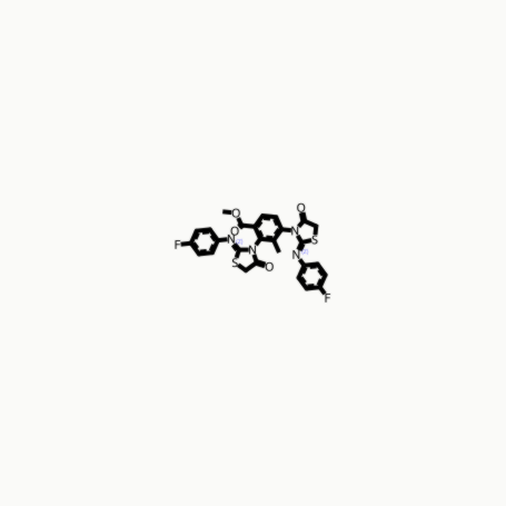 COC(=O)c1ccc(N2C(=O)CS/C2=N\c2ccc(F)cc2)c(C)c1N1C(=O)CS/C1=N\c1ccc(F)cc1